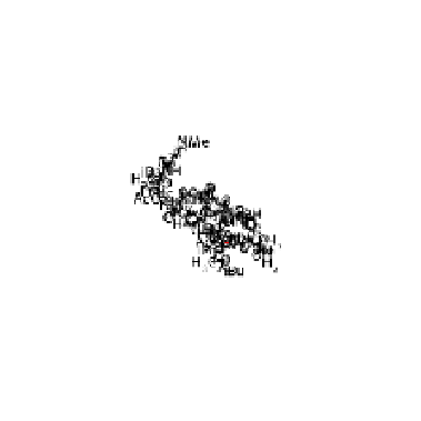 CC[C@H](C)CC(=O)N(C)[C@H](C[C@@H](OC(C)=O)c1nc(C(=O)N[C@@H](Cc2ccc(O)c(NC(=O)CCN(C(=O)CCN3C(=O)C=CC3=O)N(CCC(=O)Nc3cc(C[C@@H](CC(C)C(=O)O)NC(=O)c4csc([C@@H](C[C@H](C(C)C)N(C)C(=O)[C@@H](NC(=O)CCCCCNC)[C@@H](C)CC)OC(C)=O)n4)ccc3O)C(=O)CCN3C(=O)C=CC3=O)c2)CC(C)C(N)=O)cs1)C(C)C